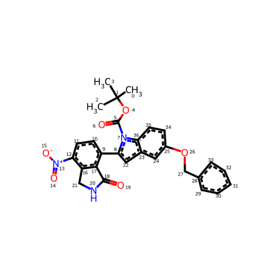 CC(C)(C)OC(=O)n1c(-c2ccc([N+](=O)[O-])c3c2C(=O)NC3)cc2cc(OCc3ccccc3)ccc21